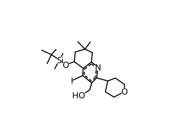 CC1(C)Cc2nc(C3CCOCC3)c(CO)c(I)c2C(O[Si](C)(C)C(C)(C)C)C1